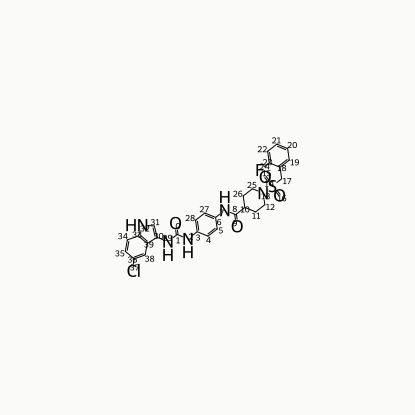 O=C(Nc1ccc(NC(=O)C2CCN(S(=O)(=O)Cc3ccccc3F)CC2)cc1)Nc1c[nH]c2ccc(Cl)cc12